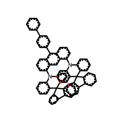 c1ccc(-c2ccc(-c3c4cccc(N5c6ccccc6C6(c7ccccc7-c7ccccc76)c6ccccc65)c4cc4c(N5c6ccccc6C6(c7ccccc7-c7ccccc76)c6ccccc65)cccc34)cc2)cc1